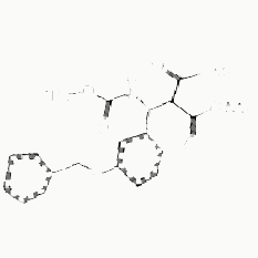 COC(=O)C(C(=O)OC)[C@H](NC(=O)OC(C)(C)C)c1cccc(OCc2ccccc2)c1